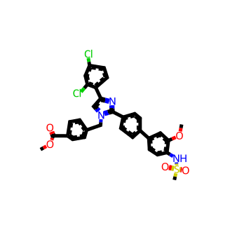 COC(=O)c1ccc(Cn2cc(-c3ccc(Cl)cc3Cl)nc2-c2ccc(-c3ccc(NS(C)(=O)=O)c(OC)c3)cc2)cc1